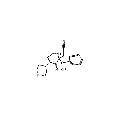 C=NN1[C@H](C2CCNCC2)CCNC1(CC#N)Oc1ccccc1